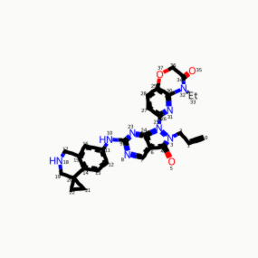 C=CCn1c(=O)c2cnc(Nc3ccc4c(c3)CNCC43CC3)nc2n1-c1ccc2c(n1)N(CC)C(=O)CO2